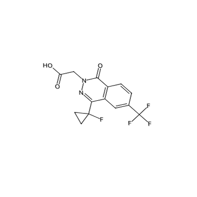 O=C(O)Cn1nc(C2(F)CC2)c2cc(C(F)(F)F)ccc2c1=O